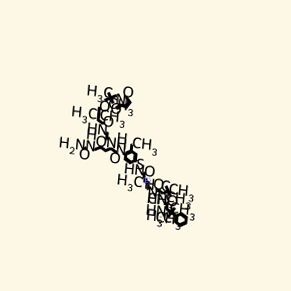 CCc1cc(SNC(=O)/C(C)=C/CN(C)C(=O)C(NC(=O)C(NC)C(C)(C)c2ccccc2)C(C)(C)C)ccc1NC(=O)C(CCCNC(N)=O)NC(=O)CNC(=O)CC(C)(C)COCC(C)(C)CN1C(=O)C=CC1=O